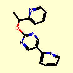 CC(Oc1ncc(-c2ccccn2)cn1)c1ccccn1